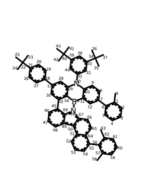 Cc1ccccc1-c1ccc2c(c1)B1c3c(cc(-c4ccc(C(C)(C)C)cc4)cc3N2c2cc(C(C)(C)C)cc(C(C)(C)C)c2)-c2cccc3c4c5cccc(-c6c(C)cccc6C)c5ccc4n1c23